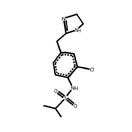 CC(C)S(=O)(=O)Nc1ccc(CC2=NCCN2)cc1Cl